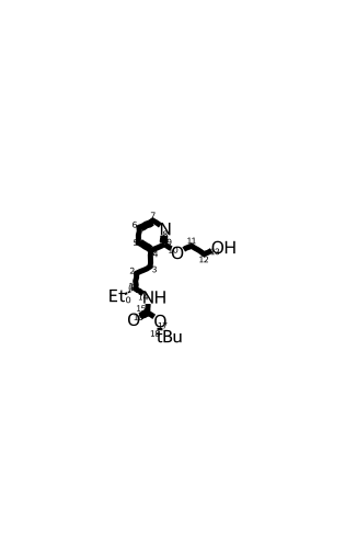 CC[C@H](CCc1cccnc1OCCO)NC(=O)OC(C)(C)C